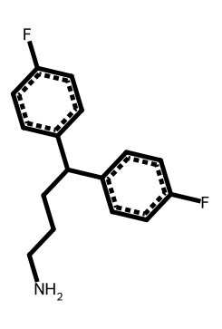 NCCCC(c1ccc(F)cc1)c1ccc(F)cc1